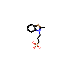 Cc1sc2ccccc2[n+]1CCCS(=O)(=O)[O-]